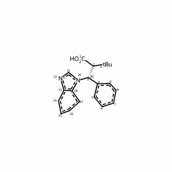 CC(C)(C)C(C(=O)O)[C@H](c1ccccc1)n1cnc2ccccc21